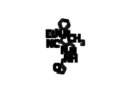 CCn1c(C(C#N)c2nc(NCc3ccco3)ncc2C)nc2ccccc21